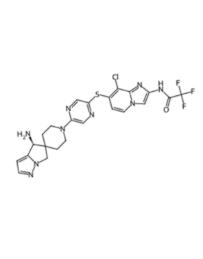 N[C@@H]1c2ccnn2CC12CCN(c1cnc(Sc3ccn4cc(NC(=O)C(F)(F)F)nc4c3Cl)cn1)CC2